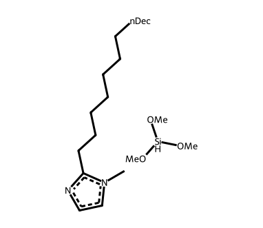 CCCCCCCCCCCCCCCCCc1nccn1C.CO[SiH](OC)OC